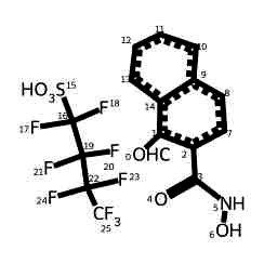 O=Cc1c(C(=O)NO)ccc2ccccc12.O=S(=O)(O)C(F)(F)C(F)(F)C(F)(F)C(F)(F)F